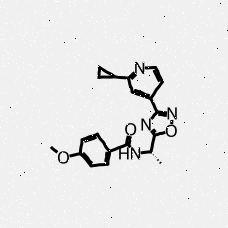 COc1ccc(C(=O)N[C@@H](C)c2nc(-c3ccnc(C4CC4)c3)no2)cc1